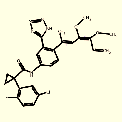 C=C/C(OC)=C(\C=C(/C)c1ccc(NC(=O)C2(c3cc(Cl)ccc3F)CC2)cc1-c1nnn[nH]1)OC